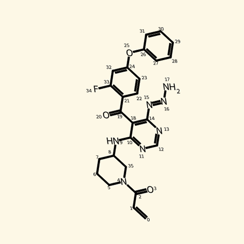 C=CC(=O)N1CCCC(Nc2ncnc(N=NN)c2C(=O)c2ccc(Oc3ccccc3)cc2F)C1